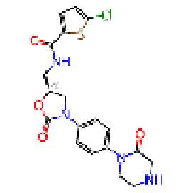 O=C(NC[C@H]1CN(c2ccc(N3CCNCC3=O)cc2)C(=O)O1)c1ccc(Cl)s1